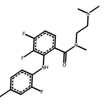 Cc1ccc(Nc2c(C(=O)N(C)CCN(C)C)ccc(F)c2F)c(F)c1